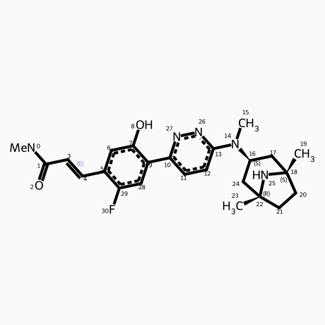 CNC(=O)/C=C/c1cc(O)c(-c2ccc(N(C)[C@H]3C[C@]4(C)CC[C@](C)(C3)N4)nn2)cc1F